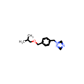 CC(C)COCc1ccc(Cn2cncn2)cc1